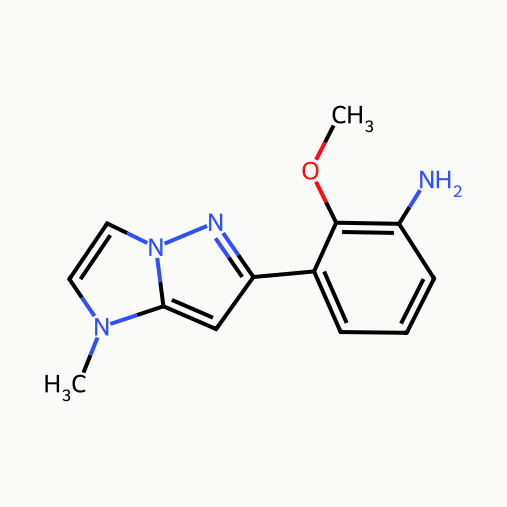 COc1c(N)cccc1-c1cc2n(C)ccn2n1